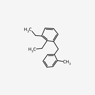 CCc1cccc(Cc2ccccc2C)c1CC